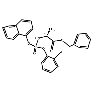 C[C@H](NP(=O)(Oc1ccccc1I)Oc1cccc2ccccc12)C(=O)OCc1ccccc1